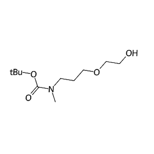 CN(CCCOCCO)C(=O)OC(C)(C)C